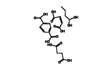 CCCC(O)O.O=C(O)/C=C\C(=O)O.O=C(O)CCC(=O)O.O=C(O)c1ccc(C(=O)O)cc1